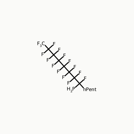 CCCCCC(F)(P)C(F)(F)C(F)(F)C(F)(F)C(F)(F)C(F)(F)C(F)(F)C(F)(F)F